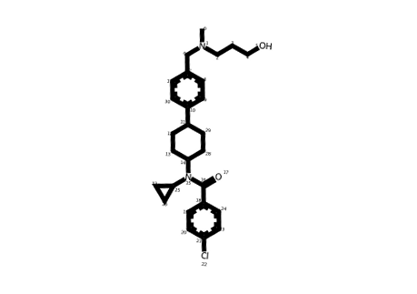 CN(CCCO)Cc1ccc(C2CCC(N(C(=O)c3ccc(Cl)cc3)C3CC3)CC2)cc1